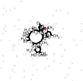 CCC1OC(=O)C(C)C(O[C@H]2C[C@@](C)(OC)[C@@H](O)[C@H](C)O2)C(C)C(O[C@@H]2O[C@H](C)C[C@H](N(C)C)[C@H]2Oc2cnc(Cl)cc2C)C(C)(O)CC(C)CN(C)C(C)C(O)C1(C)O